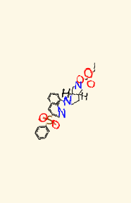 CCOC(=O)ON1C[C@@H]2CCN(c3cccc4cc(S(=O)(=O)c5ccccc5)cnc34)[C@@H]2C1